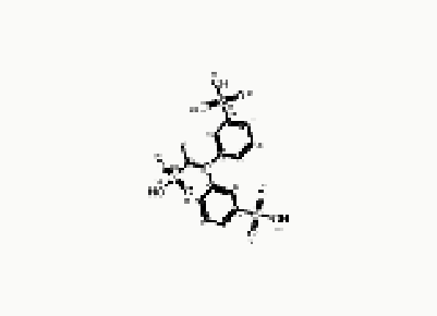 CC(P(c1cccc(S(=O)(=O)O)c1)c1cccc(S(=O)(=O)O)c1)S(=O)(=O)O